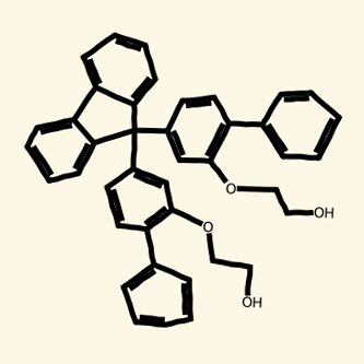 OCCOc1cc(C2(c3ccc(-c4ccccc4)c(OCCO)c3)c3ccccc3-c3ccccc32)ccc1-c1ccccc1